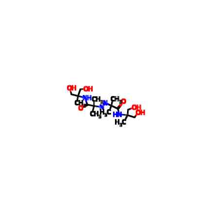 CC(CO)(CO)NC(=O)C(C)(C)N=NC(C)(C)C(=O)NC(C)(CO)CO